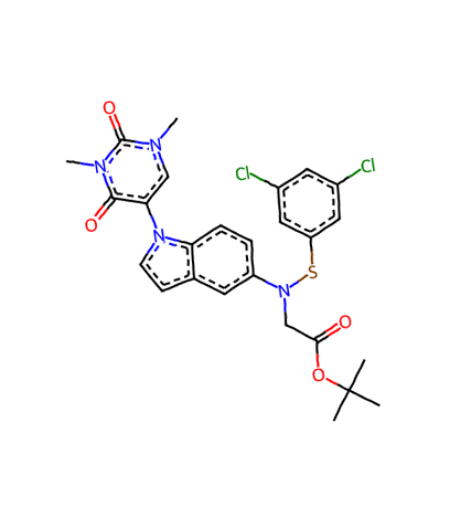 Cn1cc(-n2ccc3cc(N(CC(=O)OC(C)(C)C)Sc4cc(Cl)cc(Cl)c4)ccc32)c(=O)n(C)c1=O